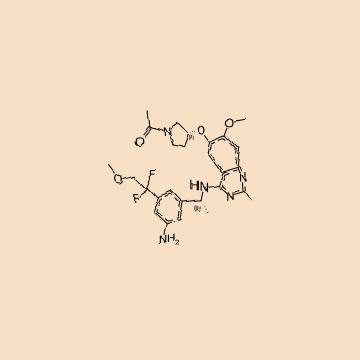 COCC(F)(F)c1cc(N)cc([C@@H](C)Nc2nc(C)nc3cc(OC)c(O[C@@H]4CCN(C(C)=O)C4)cc23)c1